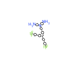 Nc1ccc(N(c2ccc(N)cc2)c2ccc(-c3ccc(C=C(c4ccc(-c5ccc(C(F)(F)F)cc5)cc4)c4ccc(-c5ccc(C(F)(F)F)cc5)cc4)cc3)cc2)cc1